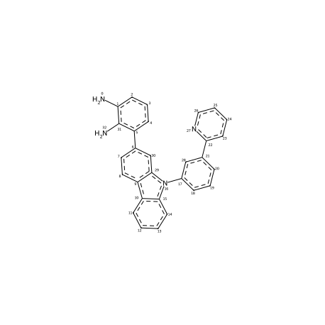 Nc1cccc(-c2ccc3c4ccccc4n(-c4cccc(-c5ccccn5)c4)c3c2)c1N